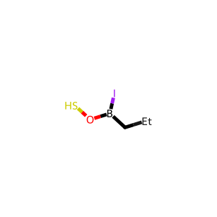 CCCB(I)OS